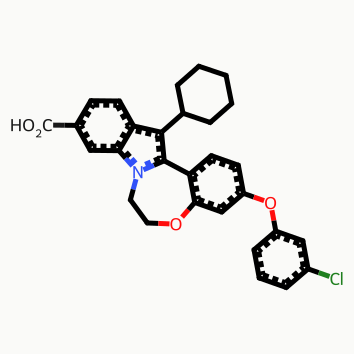 O=C(O)c1ccc2c(C3CCCCC3)c3n(c2c1)CCOc1cc(Oc2cccc(Cl)c2)ccc1-3